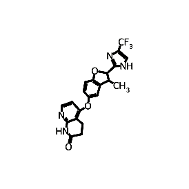 CC1c2cc(Oc3ccnc4c3CCC(=O)N4)ccc2OC1c1nc(C(F)(F)F)c[nH]1